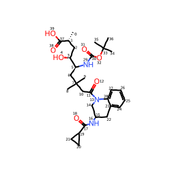 C[C@H](C[C@H](O)[C@H](CC(C)(C)CC(=O)N1C[C@H](NC(=O)C2CC2)Cc2ccccc21)NC(=O)OC(C)(C)C)C(=O)O